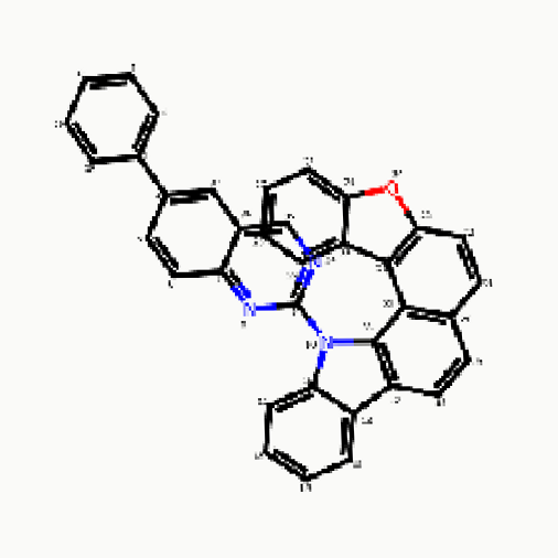 c1ccc(-c2ccc3nc(-n4c5ccccc5c5ccc6ccc7oc8ccccc8c7c6c54)ncc3c2)cc1